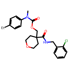 CCc1ccc(N(C)C(=O)OCC2(C(=O)NCc3ccccc3Cl)CCOCC2)cc1